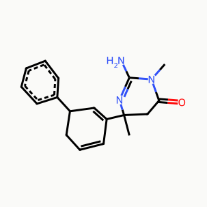 CN1C(=O)CC(C)(C2=CC(c3ccccc3)CC=C2)N=C1N